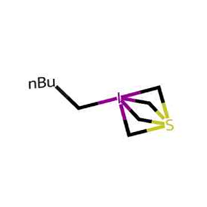 CCCCCI123CS(C1)(C2)C3